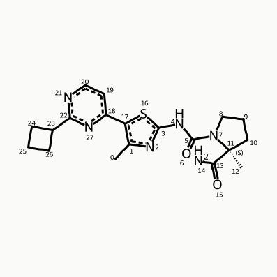 Cc1nc(NC(=O)N2CCC[C@@]2(C)C(N)=O)sc1-c1ccnc(C2CCC2)n1